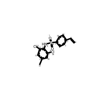 C=Cc1ccc(S(=O)(=O)Nc2c(Cl)cc(C)cc2Cl)cc1